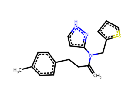 C=C(CCc1ccc(C)cc1)N(Cc1cccs1)c1cc[nH]n1